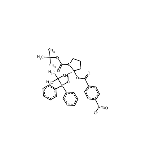 CC(C)(C)OC(=O)N1CCC[C@@]1(CO[Si](c1ccccc1)(c1ccccc1)C(C)(C)C)OC(=O)c1ccc([N+](=O)[O-])cc1